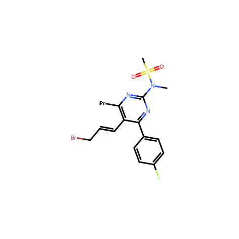 CC(C)c1nc(N(C)S(C)(=O)=O)nc(-c2ccc(F)cc2)c1/C=C/CBr